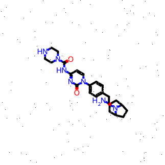 NC1CC2CCC(C1)N2CCc1ccc(-n2ccc(NC(=O)N3CCNCC3)nc2=O)cc1